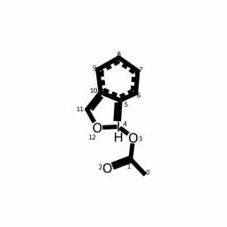 CC(=O)O[IH]1=c2ccccc2=CO1